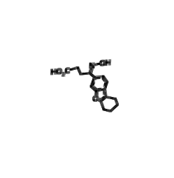 O=C(O)CC/C(=N/O)c1ccc2c3c(oc2c1)CCCC3